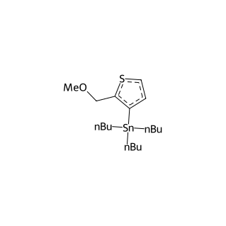 CCC[CH2][Sn]([CH2]CCC)([CH2]CCC)[c]1ccsc1COC